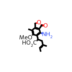 CC=C(C)CC(C(=O)O)c1c(N)c2c(c(C)c1OC)COC2=O